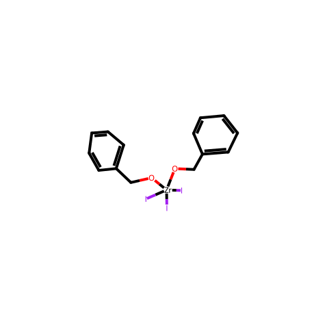 [I][Zr]([I])([I])([O]Cc1ccccc1)[O]Cc1ccccc1